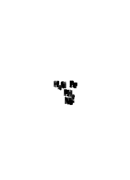 P.[Fe].[Nb].[SiH4]